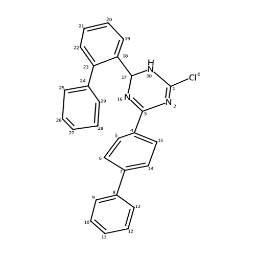 ClC1=NC(c2ccc(-c3ccccc3)cc2)=NC(c2ccccc2-c2ccccc2)N1